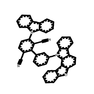 N#Cc1ccc(-n2c3ccccc3c3ccccc32)c(C#N)c1-c1cccc(-n2c3ccccc3c3ccc4oc5ccccc5c4c32)c1